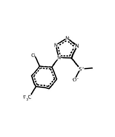 C[S+]([O-])c1nnnn1-c1ccc(C(F)(F)F)cc1Cl